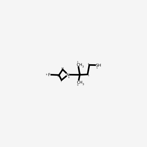 CC(C)(CCS)N1CC(F)C1